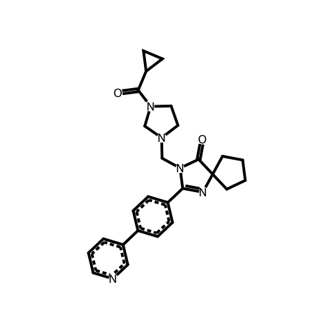 O=C(C1CC1)N1CCN(CN2C(=O)C3(CCCC3)N=C2c2ccc(-c3cccnc3)cc2)C1